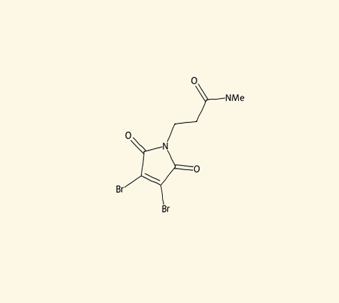 CNC(=O)CCN1C(=O)C(Br)=C(Br)C1=O